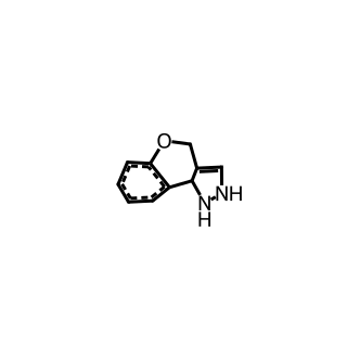 C1=C2COc3ccccc3C2NN1